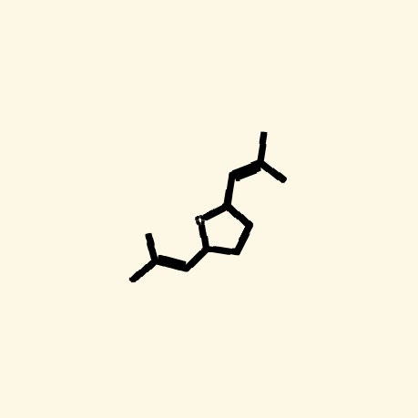 CC(C)=CC1CCC(C=C(C)C)O1